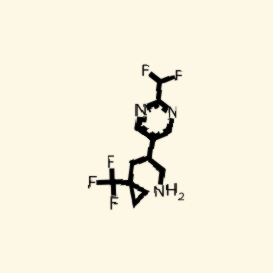 NCC(CC1(C(F)(F)F)CC1)c1cnc(C(F)F)nc1